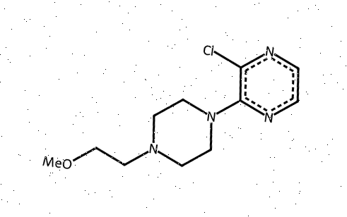 COCCN1CCN(c2nccnc2Cl)CC1